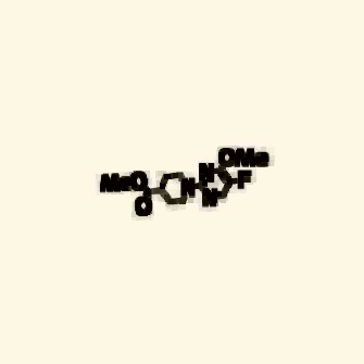 COC(=O)C1CCN(c2ncc(F)c(OC)n2)CC1